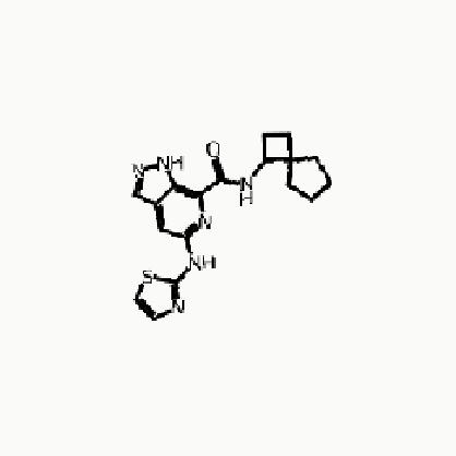 O=C(NC1CCC12CCCC2)c1nc(Nc2nccs2)cc2cn[nH]c12